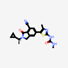 CNC(=O)Nc1nc(C)c(-c2cc(C#N)c3c(c2)CN([C@@H](C)C2CC2)C3=O)s1